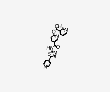 C[C@H](Oc1ccc(C(=O)Nc2nnc(-c3ccncc3)s2)cn1)c1cccnc1